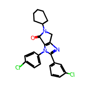 O=C1c2c(nc(-c3cccc(Cl)c3)n2-c2ccc(Cl)cc2)CN1C1CCCCC1